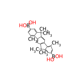 Cc1cc(B(O)O)cc2c1-c1cc3c(cc1C2(C)C)-c1c(C)cc(B(O)O)cc1C3(C)C